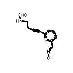 O=CNCCC#Cc1cccc(C=NO)n1